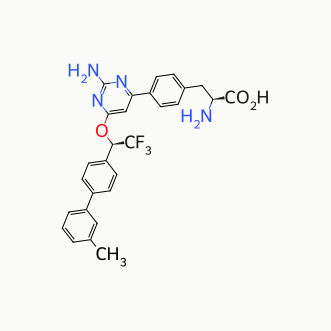 Cc1cccc(-c2ccc([C@@H](Oc3cc(-c4ccc(C[C@H](N)C(=O)O)cc4)nc(N)n3)C(F)(F)F)cc2)c1